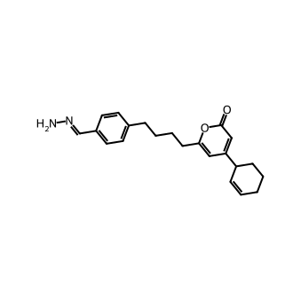 NN=Cc1ccc(CCCCc2cc(C3C=CCCC3)cc(=O)o2)cc1